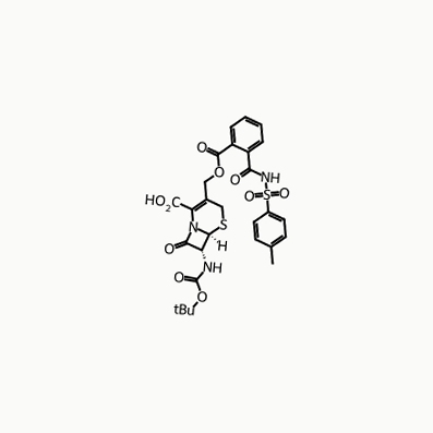 Cc1ccc(S(=O)(=O)NC(=O)c2ccccc2C(=O)OCC2=C(C(=O)O)N3C(=O)[C@@H](NC(=O)OC(C)(C)C)[C@@H]3SC2)cc1